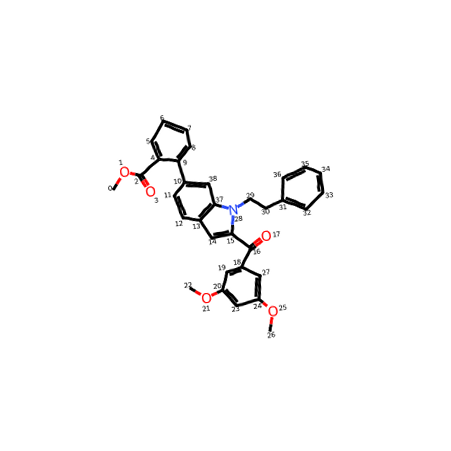 COC(=O)c1ccccc1-c1ccc2cc(C(=O)c3cc(OC)cc(OC)c3)n(CCc3ccccc3)c2c1